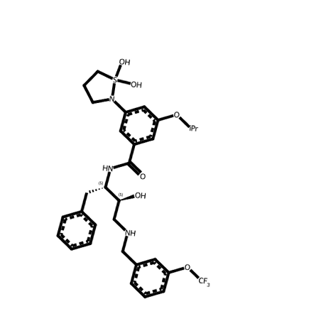 CC(C)Oc1cc(C(=O)N[C@@H](Cc2ccccc2)[C@@H](O)CNCc2cccc(OC(F)(F)F)c2)cc(N2CCCS2(O)O)c1